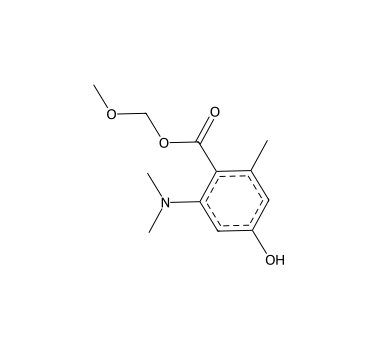 COCOC(=O)c1c(C)cc(O)cc1N(C)C